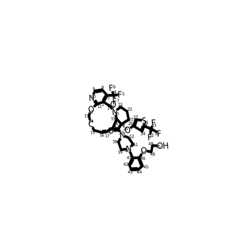 O=C1c2c(C(F)(F)F)ccnc2OCCC/C=C\C[C@H]2N1CCC[C@@]2(Oc1csc(C(F)(F)F)c1)C(=O)N1CCN(c2ccccc2OCCO)CC1